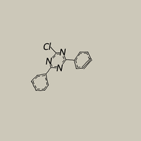 Clc1nc(-c2cc#ccc2)nc(-c2ccccc2)n1